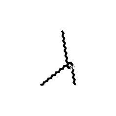 CCCCCCCCCCCCCc1cc[n+](CCCCCCC)cc1CCCCCCCCCCCCC